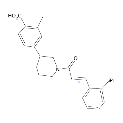 Cc1cc(C2CCCN(C(=O)/C=C/c3ccccc3C(C)C)C2)ccc1C(=O)O